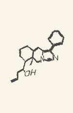 C=CC[C@H](O)[C@H]1CCCC2=Cc3c(-c4ccccc4)ncn3C[C@@]21C